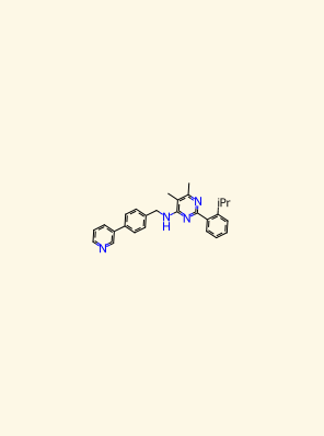 Cc1nc(-c2ccccc2C(C)C)nc(NCc2ccc(-c3cccnc3)cc2)c1C